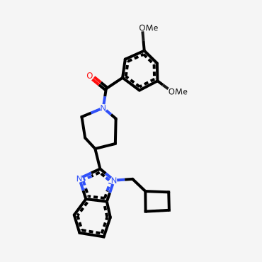 COc1cc(OC)cc(C(=O)N2CCC(c3nc4ccccc4n3CC3CCC3)CC2)c1